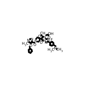 Cc1ncnc(C(=O)N2CCC3(CC2)OC(C)c2c3c(=O)n3nc(-c4ccc(CN(C)C)cc4F)nc3n2CC(=O)O)c1OCc1ccccc1